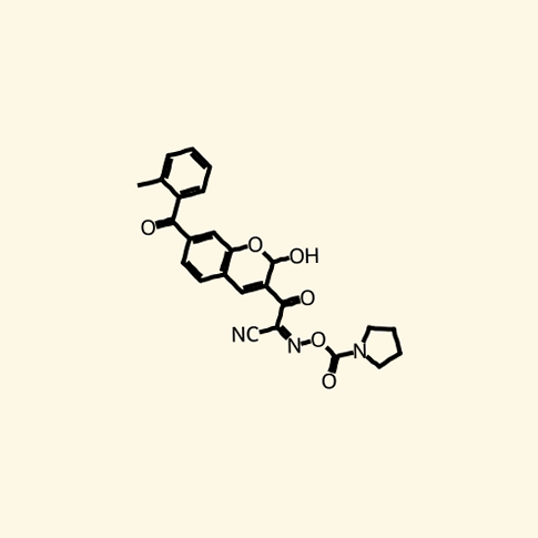 Cc1ccccc1C(=O)c1ccc2c(c1)OC(O)C(C(=O)/C(C#N)=N\OC(=O)N1CCCC1)=C2